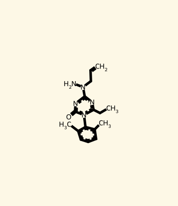 C=CCN(N)c1nc(CC)n(-c2c(C)cccc2C)c(=O)n1